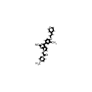 Cc1cc(-c2nc(C#N)nc3c2ccn3CC(=O)N2CCN(C)CC2)ccc1OCCC1CCOCC1